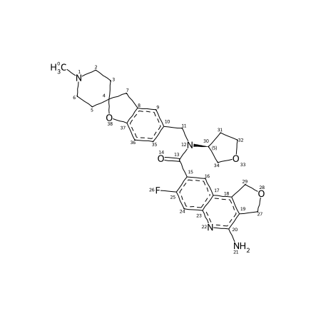 CN1CCC2(CC1)Cc1cc(CN(C(=O)c3cc4c5c(c(N)nc4cc3F)COC5)[C@H]3CCOC3)ccc1O2